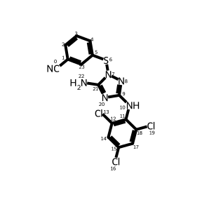 N#Cc1cccc(Sn2nc(Nc3c(Cl)cc(Cl)cc3Cl)nc2N)c1